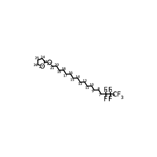 FC(F)(F)C(F)(F)C(F)(F)CCCCCCCCCCCCCCCOC1CCCO1